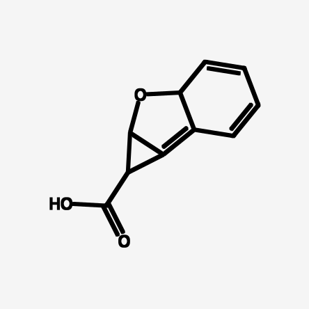 O=C(O)C1C2=C3C=CC=CC3OC21